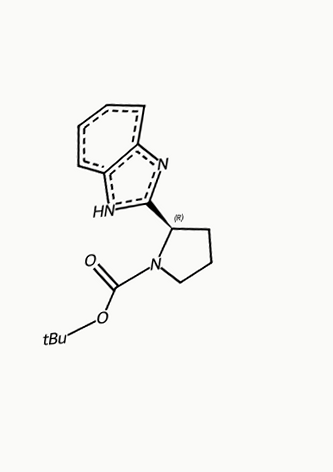 CC(C)(C)OC(=O)N1CCC[C@@H]1c1nc2ccccc2[nH]1